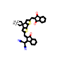 CCC1(CC)c2cc(C=C3C(=O)c4ccccc4C3=O)sc2-c2sc(/C=C3\C(=O)c4ccccc4C3=C(C#N)C#N)cc21